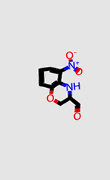 O=CC1COc2cccc([N+](=O)[O-])c2N1